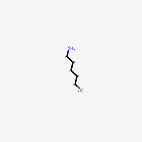 NCCC[CH]CCl